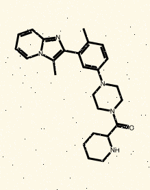 Cc1ccc(N2CCN(C(=O)C3CCCCN3)CC2)cc1-c1nc2ccccn2c1C